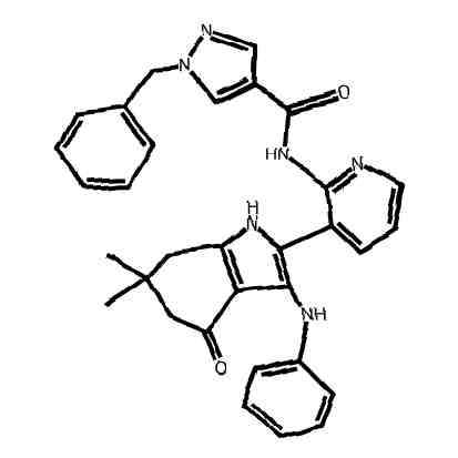 CC1(C)CC(=O)c2c([nH]c(-c3cccnc3NC(=O)c3cnn(Cc4ccccc4)c3)c2Nc2ccccc2)C1